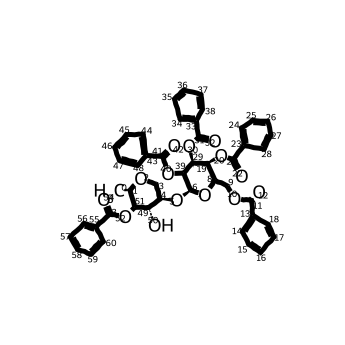 C[C@@H]1OC[C@@H](O[C@@H]2OC(COC(=O)c3ccccc3)[C@H](OC(=O)c3ccccc3)[C@H](OC(=O)c3ccccc3)C2OC(=O)c2ccccc2)[C@H](O)C1OC(=O)c1ccccc1